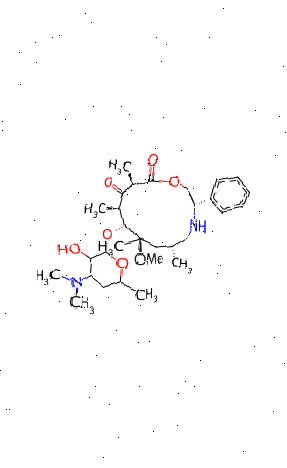 CO[C@]1(C)C[C@@H](C)CN[C@@H](c2ccccc2)COC(=O)[C@H](C)C(=O)[C@H](C)[C@H]1O[C@@H]1OC(C)CC(N(C)C)C1O